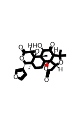 CC1(C)O[C@H]2CC(=O)OC[C@]23[C@H]2CC[C@@]4(C)[C@H](c5ccoc5)OC(=O)[C@H]5O[C@]54[C@]2(C)[C@@H](O)C(=O)[C@@H]13